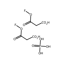 O=C(O)CC(=O)OF.O=C(O)CC(=O)OF.O=P(O)(O)O